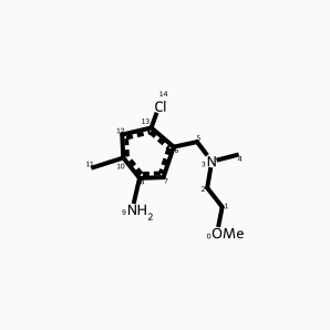 COCCN(C)Cc1cc(N)c(C)cc1Cl